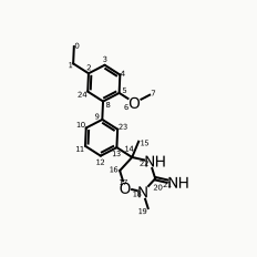 CCc1ccc(OC)c(-c2cccc(C3(C)CON(C)C(=N)N3)c2)c1